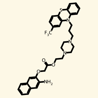 Nc1cc2ccccc2cc1OCC(=O)OCCN1CCN(CCCN2c3ccccc3Sc3ccc(C(F)(F)F)cc32)CC1